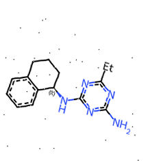 CCc1nc(N)nc(N[C@@H]2CCCc3ccccc32)n1